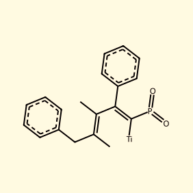 CC(Cc1ccccc1)=C(C)C(=[C]([Ti])P(=O)=O)c1ccccc1